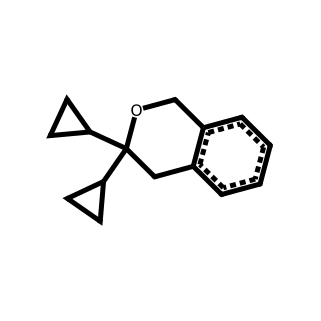 c1ccc2c(c1)COC(C1CC1)(C1CC1)C2